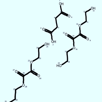 O=C(O)CCC(=O)O.O=C(OCCO)C(=O)OCCO.O=C(OCCO)C(=O)OCCO